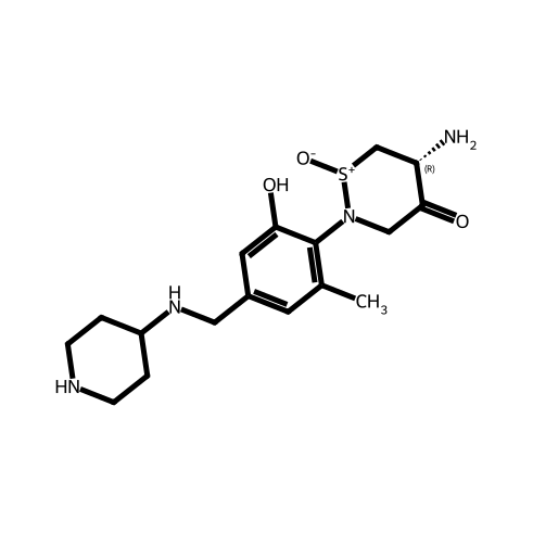 Cc1cc(CNC2CCNCC2)cc(O)c1N1CC(=O)[C@@H](N)C[S+]1[O-]